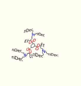 CCCCCCCCCCCCN(CCCCCCCCCCCC)CCC(CC)OC(=O)C1CC(C(=O)OC(CC)CCN(CCCCCCCCCCCC)CCCCCCCCCCCC)CC(C(=O)OC(CC)CCN(CCCCCCCCCCCC)CCCCCCCCCCCC)C1